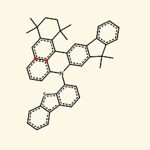 CC1(C)CCC(C)(C)c2c(-c3cc4c(cc3N(c3ccccc3)c3cccc5c3sc3ccccc35)C(C)(C)c3ccccc3-4)cccc21